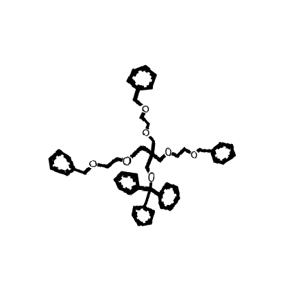 c1ccc(COCCOCC(COCCOCc2ccccc2)(COCCOCc2ccccc2)COC(c2ccccc2)(c2ccccc2)c2ccccc2)cc1